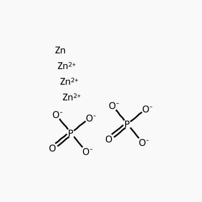 O=P([O-])([O-])[O-].O=P([O-])([O-])[O-].[Zn+2].[Zn+2].[Zn+2].[Zn]